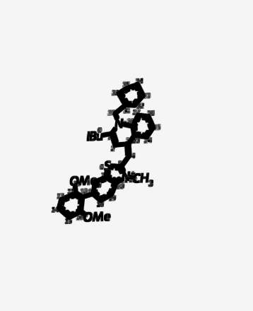 CCC(C)C1=CC(=Cc2sc3cc(-c4c(OC)cccc4OC)ccc3[n+]2C)c2ccccc2N1Cc1ccccc1